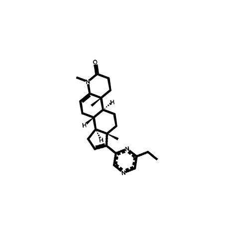 CCc1cncc(C2=CC[C@H]3[C@@H]4CC=C5N(C)C(=O)CC[C@]5(C)[C@H]4CC[C@]23C)n1